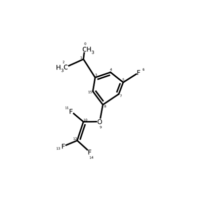 CC(C)c1cc(F)cc(OC(F)=C(F)F)c1